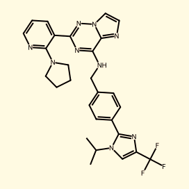 CC(C)n1cc(C(F)(F)F)nc1-c1ccc(CNc2nc(-c3cccnc3N3CCCC3)nn3ccnc23)cc1